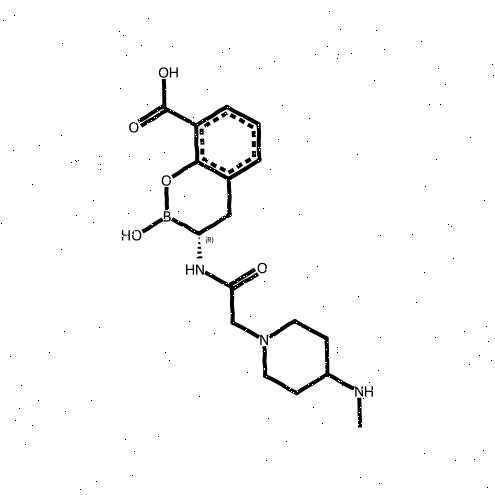 CNC1CCN(CC(=O)N[C@H]2Cc3cccc(C(=O)O)c3OB2O)CC1